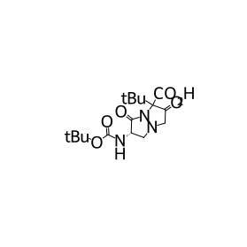 CC(C)(C)OC(=O)N[C@H]1CN2CC(=O)C(C(=O)O)(C(C)(C)C)N2C1=O